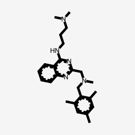 Cc1cc(C)c(CN(C)Cc2nc(NCCCN(C)C)c3ccccc3n2)c(C)c1